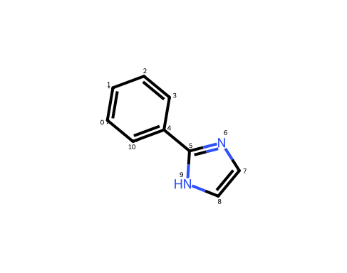 [c]1[c]ccc(-c2ncc[nH]2)[c]1